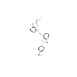 COC(=O)C1Cc2cccc(OCc3cccc4c3CN(c3ccc(C(F)(F)F)cc3)C4=O)c2C1